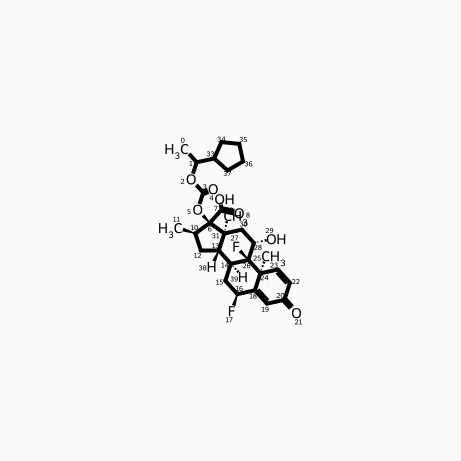 CC(OC(=O)O[C@]1(C(=O)O)[C@H](C)C[C@H]2[C@@H]3C[C@H](F)C4=CC(=O)C=C[C@]4(C)[C@@]3(F)[C@@H](O)C[C@@]21C)C1CCCC1